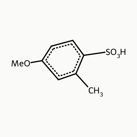 COc1ccc(S(=O)(=O)O)c(C)c1